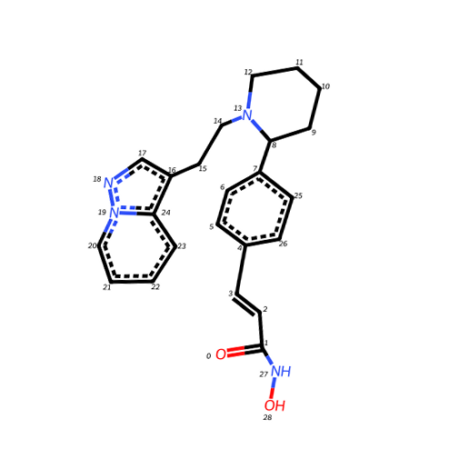 O=C(C=Cc1ccc(C2CCCCN2CCc2cnn3ccccc23)cc1)NO